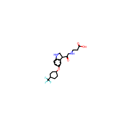 O=C(O)CCNCC(=O)C1CNc2ccc(OC3CCC(C(F)(F)F)CC3)cc21